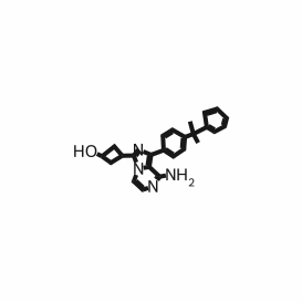 CC(C)(c1ccccc1)c1ccc(-c2nc(C3CC(O)C3)n3ccnc(N)c23)cc1